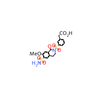 COc1cc2c(cc1S(N)(=O)=O)CCN(S(=O)(=O)c1cccc(CC(=O)O)c1)C2=O